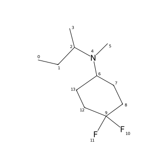 CCC(C)N(C)C1CCC(F)(F)CC1